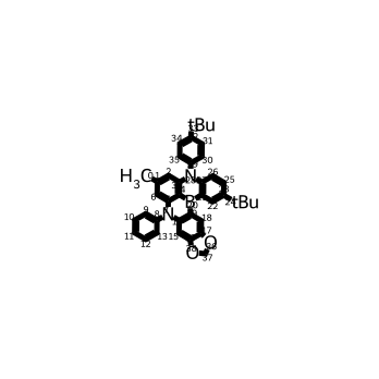 Cc1cc2c3c(c1)N(c1ccccc1)c1cc4c(cc1B3c1cc(C(C)(C)C)ccc1N2c1ccc(C(C)(C)C)cc1)OCO4